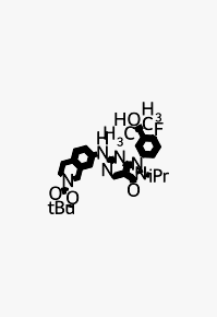 CC(C)n1c(=O)c2cnc(Nc3ccc4c(c3)CN(C(=O)OC(C)(C)C)CC4)nc2n1-c1ccc(F)c(C(C)(C)O)c1